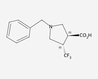 O=C(O)[C@@H]1CN(Cc2ccccc2)C[C@H]1C(F)(F)F